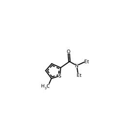 CCN(CC)C(=O)c1ccc(C)s1